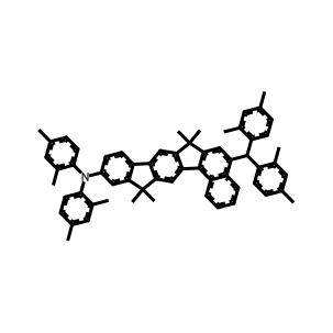 Cc1ccc(C(c2ccc(C)cc2C)c2cc3c(c4ccccc24)-c2cc4c(cc2C3(C)C)-c2ccc(N(c3ccc(C)cc3C)c3ccc(C)cc3C)cc2C4(C)C)c(C)c1